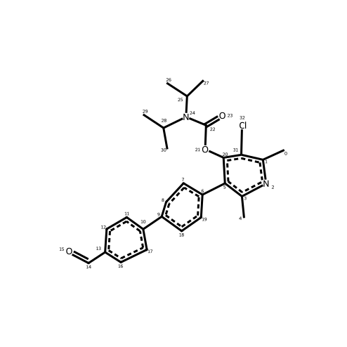 Cc1nc(C)c(-c2ccc(-c3ccc(C=O)cc3)cc2)c(OC(=O)N(C(C)C)C(C)C)c1Cl